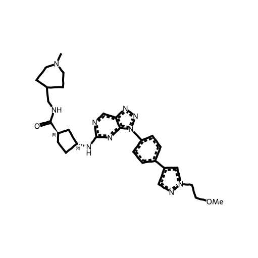 COCCn1cc(-c2ccc(-n3nnc4cnc(N[C@@H]5CC[C@@H](C(=O)NCC6CCN(C)CC6)C5)nc43)cc2)cn1